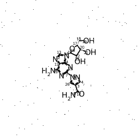 NC(=O)c1cnn(-c2nc(N)c3ncn([C@@H]4O[C@H](CO)[C@@H](O)[C@@H]4O)c3n2)c1